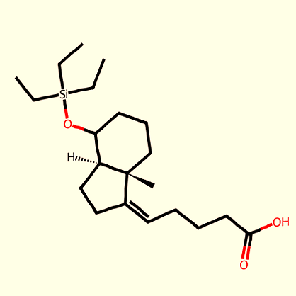 CC[Si](CC)(CC)OC1CCC[C@]2(C)/C(=C\CCCC(=O)O)CC[C@@H]12